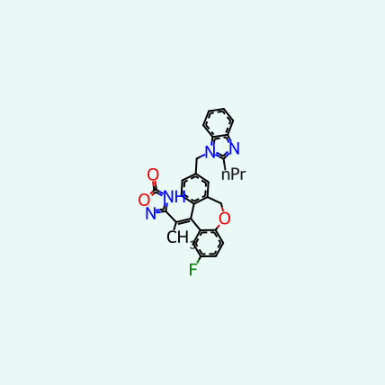 CCCc1nc2ccccc2n1Cc1ccc2c(c1)COc1ccc(F)cc1/C2=C(\C)c1noc(=O)[nH]1